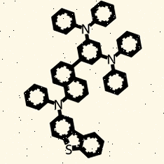 c1ccc(N(c2ccccc2)c2cc(-c3cccc4c(N(c5ccccc5)c5ccc6sc7ccccc7c6c5)cccc34)cc(N(c3ccccc3)c3ccccc3)c2)cc1